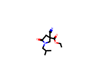 CCOC(=O)C1(C#N)CC(=O)N(CC(C)C)C1